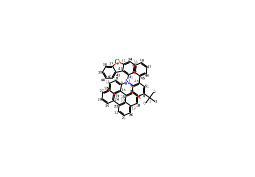 CC(C)(C)c1ccc(N(c2ccccc2-c2cccc3cccc(-c4ccccc4)c23)c2cccc3oc4ccccc4c23)c(-c2ccccc2)c1